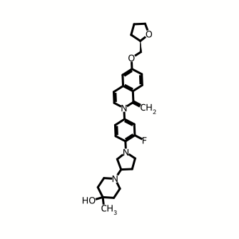 C=C1c2ccc(OC[C@H]3CCCO3)cc2C=CN1c1ccc(N2CCC(N3CCC(C)(O)CC3)C2)c(F)c1